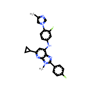 Cc1cn(-c2ccc(Nc3cc(C4CC4)nc4c3nc(-c3ccc(F)cc3)n4C)cc2F)cn1